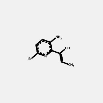 CC=C(O)c1nc(Br)ccc1N